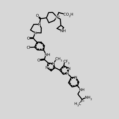 C[C@H](N)CNc1ccc(-n2cc(-c3cnc(C(=O)Nc4ccc(C(=O)N5CCN(C(=O)C6CC[N+](CC(=O)O)(CC7CNC7)CC6)CC5)c(Cl)c4)n3C)c(C(F)(F)F)n2)nc1